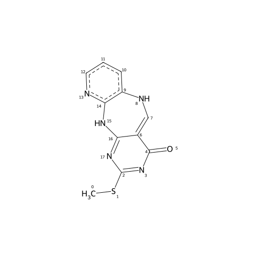 CSC1=NC(=O)C2=CNc3cccnc3NC2=N1